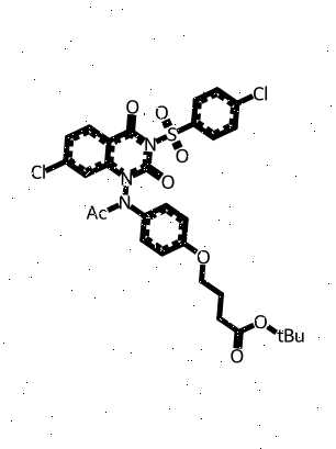 CC(=O)N(c1ccc(OCCCC(=O)OC(C)(C)C)cc1)n1c(=O)n(S(=O)(=O)c2ccc(Cl)cc2)c(=O)c2ccc(Cl)cc21